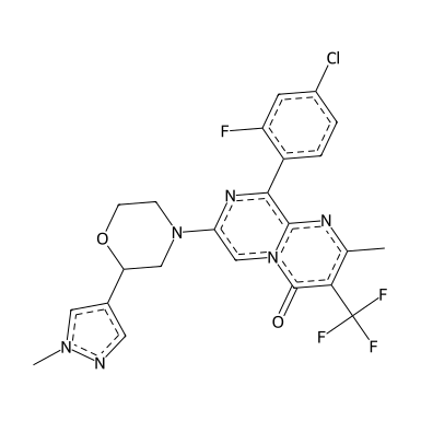 Cc1nc2c(-c3ccc(Cl)cc3F)nc(N3CCOC(c4cnn(C)c4)C3)cn2c(=O)c1C(F)(F)F